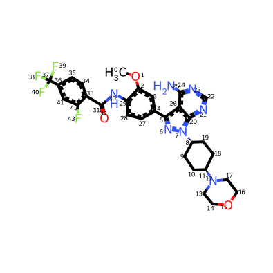 COc1cc(-c2nn([C@H]3CC[C@H](N4CCOCC4)CC3)c3ncnc(N)c23)ccc1NC(=O)c1ccc(C(F)(F)F)cc1F